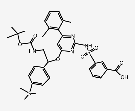 Cc1cccc(C)c1-c1cc(OC(CNC(=O)OC(C)(C)C)c2ccc(S(C)(C)C)cc2)nc(NS(=O)(=O)c2cccc(C(=O)O)c2)n1